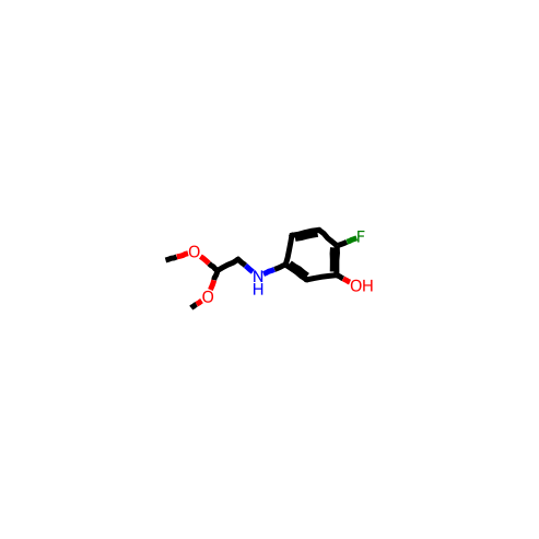 COC(CNc1ccc(F)c(O)c1)OC